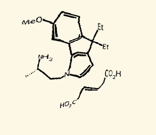 CCC1(CC)c2ccc(OC)cc2-c2c1ccn2C[C@H](C)N.O=C(O)C=CC(=O)O